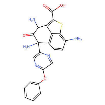 Nc1ccc2c3c(c(C(=O)O)sc13)C(N)C(=O)C2(N)c1cnc(Oc2ccccc2)cn1